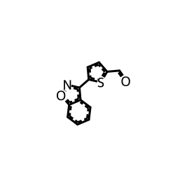 O=Cc1ccc(-c2noc3ccccc23)s1